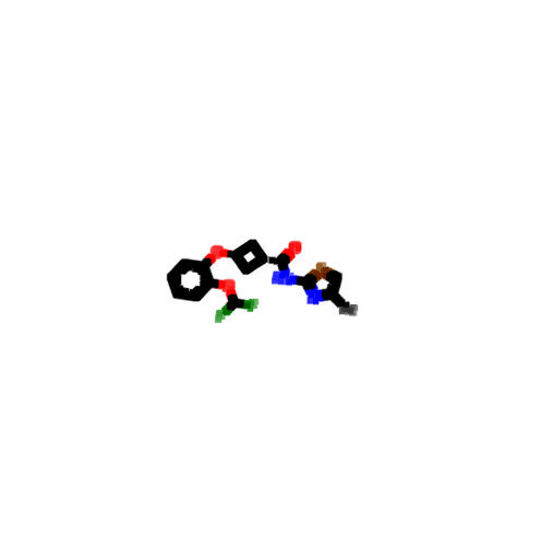 CC(=O)c1csc(NC(=O)[C@H]2C[C@H](Oc3ccccc3OC(F)F)C2)n1